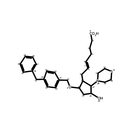 O=C(O)CCC/C=C/CC1C(OCc2ccc(Cc3ccccc3)cc2)CC(O)C1N1CCSCC1